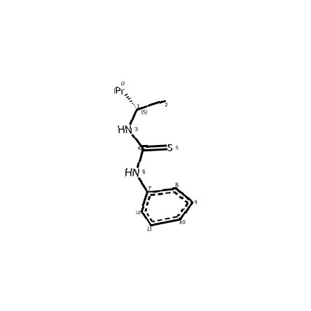 CC(C)[C@H](C)NC(=S)Nc1ccccc1